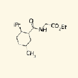 CCOC(=O)CNC(=O)C1C[C@H](C)CC[C@H]1C(C)C